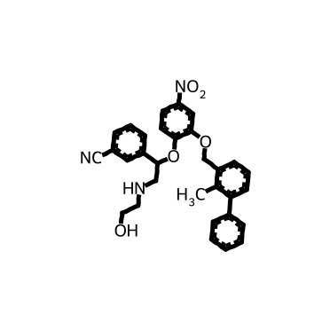 Cc1c(COc2cc([N+](=O)[O-])ccc2OC(CNCCO)c2cccc(C#N)c2)cccc1-c1ccccc1